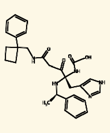 C[C@@H](N[C@@](Cc1c[nH]cn1)(NC(=O)O)C(=O)CC(=O)NCC1(c2ccccc2)CCC1)c1ccccc1